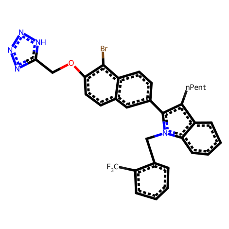 CCCCCc1c(-c2ccc3c(Br)c(OCc4nnn[nH]4)ccc3c2)n(Cc2ccccc2C(F)(F)F)c2ccccc12